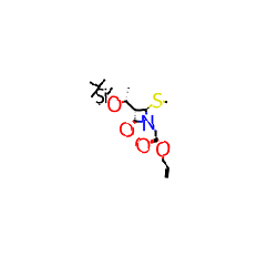 C=CCOC(=O)CN1C(=O)[C@H]([C@@H](C)O[Si](C)(C)C(C)(C)C)[C@H]1SC